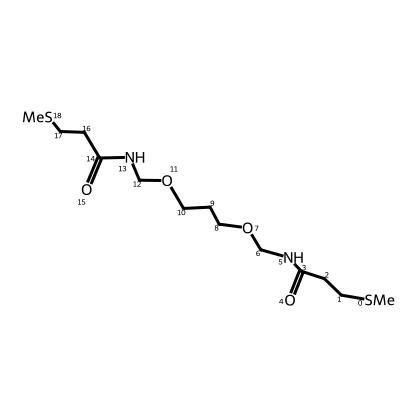 CSCCC(=O)NCOCCCOCNC(=O)CCSC